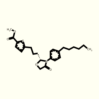 CCCCCCc1ccc(N2C(=O)CO[C@@H]2CCCc2ccc(C(=O)OC)s2)cc1